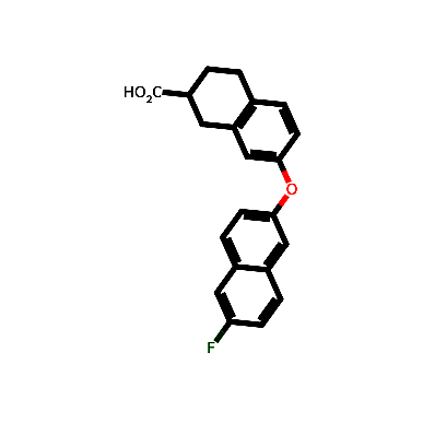 O=C(O)C1CCc2ccc(Oc3ccc4cc(F)ccc4c3)cc2C1